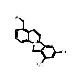 Cc1cc(C)c2c(c1)-c1ccc3c(CC(C)C)cccc3[n+]1C2